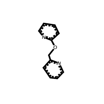 c1ccc(COc2ccccn2)nc1